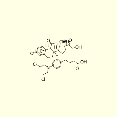 C[C@]12C=CC(=O)C=C1CC[C@@H]1[C@@H]2C(=O)C[C@@]2(C)[C@H]1CC[C@]2(O)C(=O)CO.O=C(O)CCCc1ccc(N(CCCl)CCCl)cc1